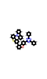 c1ccc(-c2nc(-c3ccccc3)nc(-c3ccc4c(c3)oc3cccc(-c5ccc6c(c5)sc5cccc(-n7c8ccccc8c8ccccc87)c56)c34)n2)cc1